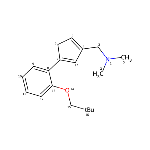 CN(C)CC1=CCC(c2ccccc2OCC(C)(C)C)=C1